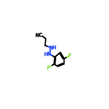 N#CCCNNc1cc(F)ccc1F